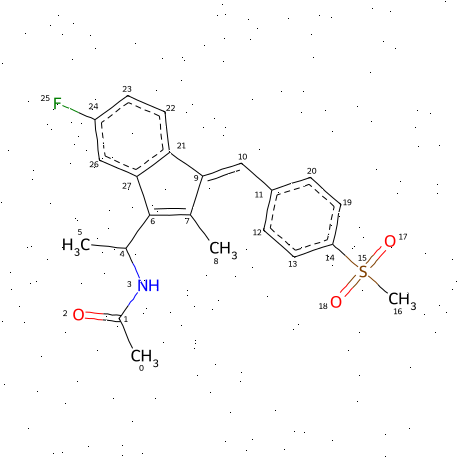 CC(=O)NC(C)C1=C(C)C(=Cc2ccc(S(C)(=O)=O)cc2)c2ccc(F)cc21